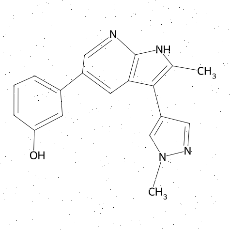 Cc1[nH]c2ncc(-c3cccc(O)c3)cc2c1-c1cnn(C)c1